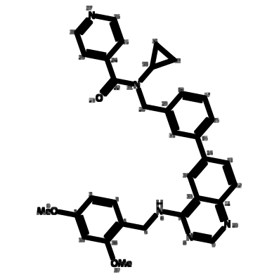 COc1ccc(CNc2ncnc3ccc(-c4cccc(CN(C(=O)c5ccncc5)C5CC5)c4)cc23)c(OC)c1